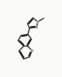 Cn1ccc(-c2ccc3[c]ccnc3c2)n1